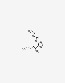 C=C(CCCC)C1OC=NC1OC(=O)OCC